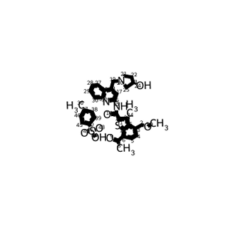 COCc1ccc(C(C)=O)c2sc(C(=O)Nc3cc(CN4CC[C@@H](O)C4)c4ccccc4n3)c(C)c12.Cc1ccc(S(=O)(=O)O)cc1